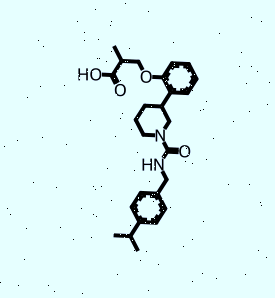 CC(COc1ccccc1C1CCCN(C(=O)NCc2ccc(C(C)C)cc2)C1)C(=O)O